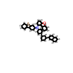 c1cc(-c2ccc(N(c3ccc4c(c3)sc3ccccc34)c3cccc4oc5ccccc5c34)cc2)cc(-c2ccc3ccccc3c2)c1